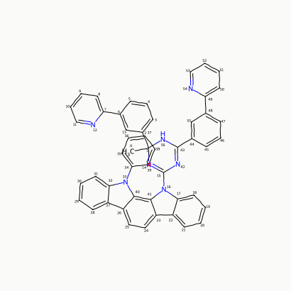 CC1(c2cccc(-c3ccccn3)c2)N=C(n2c3ccccc3c3ccc4c5ccccc5n(-c5ccccc5)c4c32)N=C(c2cccc(-c3ccccn3)c2)N1